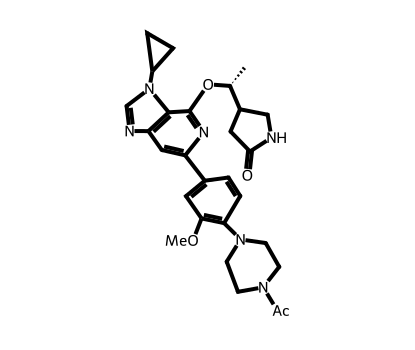 COc1cc(-c2cc3ncn(C4CC4)c3c(O[C@H](C)C3CNC(=O)C3)n2)ccc1N1CCN(C(C)=O)CC1